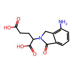 Nc1cccc2c1CN(C(CCC(=O)O)C(=O)O)C2=O